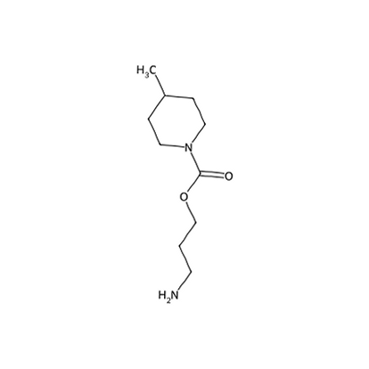 CC1CCN(C(=O)OCCCN)CC1